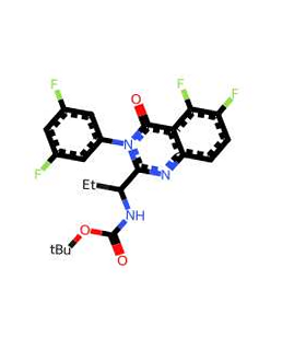 CCC(NC(=O)OC(C)(C)C)c1nc2ccc(F)c(F)c2c(=O)n1-c1cc(F)cc(F)c1